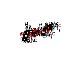 CO[C@H](OC1CC(C)(OC(C)=O)C(OC2CC(C)(OC(C)=O)C(OC(C)=O)C(C)O2)C(C)O1)C12OC3c4c(C)cc5c(c4O[C@](OC)(C3O1)[C@@]21CO1)C(=O)c1c(OC(C)=O)cccc1C5=O